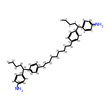 CCCCC(c1ccc(N)cc1)c1ccc(CCCCCCCCCc2ccc(C(CCCC)c3ccc(N)cc3)cc2)cc1